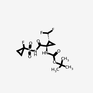 CC(C)(C)OC(=O)N[C@]1(C(=O)NS(=O)(=O)C2(F)CC2)C[C@H]1C(F)F